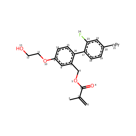 C=C(C)C(=O)OCc1cc(OCCO)ccc1-c1ccc(CCC)cc1F